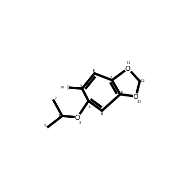 CC(C)Oc1cc2c(cc1I)OCO2